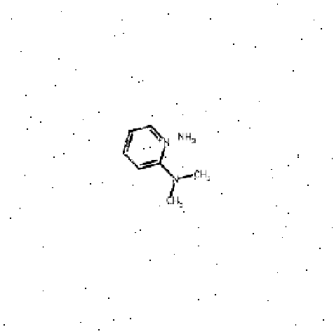 CN(C)c1ccccn1.N